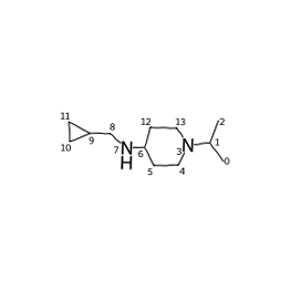 CC(C)N1CCC(NCC2CC2)CC1